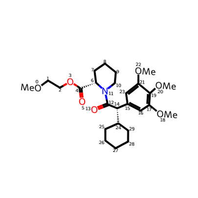 COCCOC(=O)[C@@H]1CCCCN1C(=O)[C@H](c1cc(OC)c(OC)c(OC)c1)C1CCCCC1